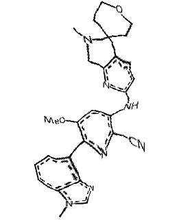 COc1cc(Nc2ccc3c(n2)CN(C)C32CCOCC2)c(C#N)nc1-c1cccc2c1ncn2C